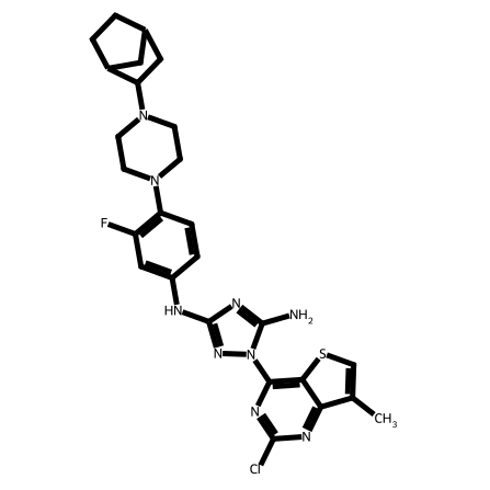 Cc1csc2c(-n3nc(Nc4ccc(N5CCN(C6CC7CCC6C7)CC5)c(F)c4)nc3N)nc(Cl)nc12